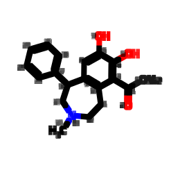 COC(=O)c1c(O)c(O)cc2c1CCN(C)CC2c1ccccc1